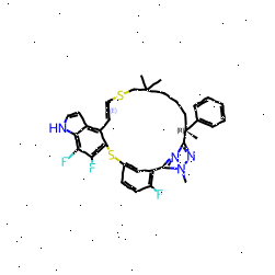 Cn1nc2nc1-c1cc(ccc1F)Sc1c(F)c(F)c3[nH]ccc3c1/C=C/SCC(C)(C)CCC[C@]2(C)c1ccccc1